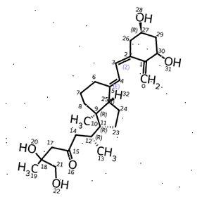 C=C1/C(=C\C=C2/CCC[C@]3(C)[C@@H]([C@H](C)CC(=O)CC(C)(O)CO)CC[C@@H]23)C[C@@H](O)CC1O